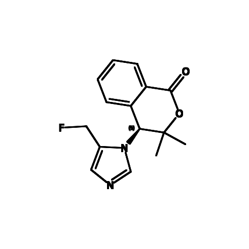 CC1(C)OC(=O)c2ccccc2[C@@H]1n1cncc1CF